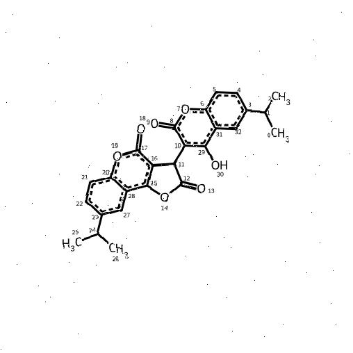 CC(C)c1ccc2oc(=O)c(C3C(=O)Oc4c3c(=O)oc3ccc(C(C)C)cc43)c(O)c2c1